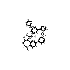 C[C@@H]1CCN(C)c2ccc(-c3cccc(C(F)(F)F)c3)nc2N1C(=O)Nc1cc(-c2cnco2)cc(-c2cnco2)c1